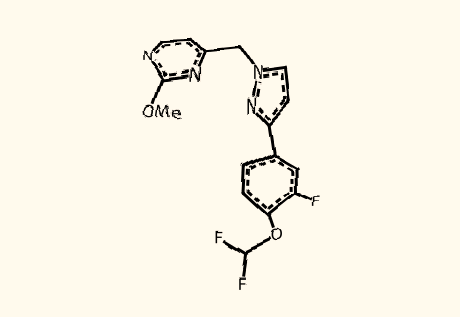 COc1nccc(Cn2ccc(-c3ccc(OC(F)F)c(F)c3)n2)n1